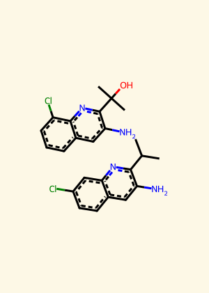 CC(C)(O)c1nc2c(Cl)cccc2cc1N.CC(C)c1nc2cc(Cl)ccc2cc1N